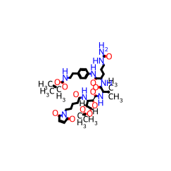 CC(C)[C@@H](NC(=O)[C@H]1O[C@@H]2OC(C)(C)O[C@@H]2[C@@H]1NC(=O)CCCCN1C(=O)C=CC1=O)C(=O)NC(CCCNC(N)=O)C(=O)Nc1ccc(CCNC(=O)OC(C)(C)C)cc1